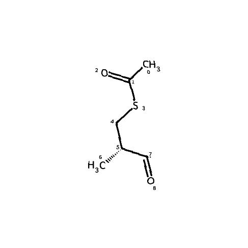 CC(=O)SC[C@@H](C)[C]=O